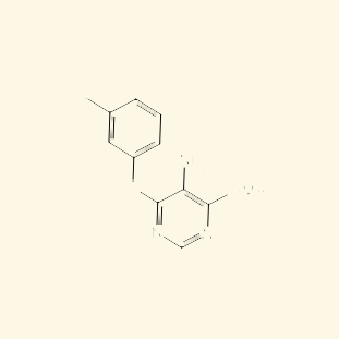 COc1ncnc(Oc2cccc(Cl)c2)c1N